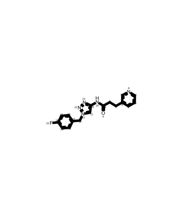 O=C(CCc1cccnc1)Nc1cn(Cc2ccc(F)cc2)nn1